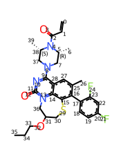 C=CC(=O)N1[C@H](C)CN(c2nc(=O)n3c4c(c(-c5ccc(F)cc5F)c(C)cc24)SCC(OCCC)C3)C[C@@H]1C